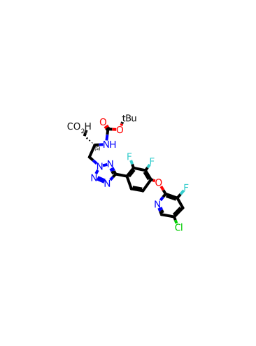 CC(C)(C)OC(=O)N[C@@H](CC(=O)O)Cn1nnc(-c2ccc(Oc3ncc(Cl)cc3F)c(F)c2F)n1